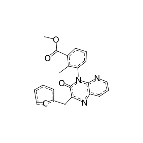 COC(=O)c1cccc(-n2c(=O)c(Cc3ccccc3)nc3cccnc32)c1C